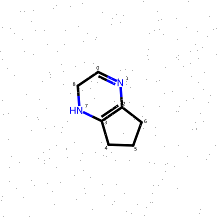 C1=NC2=C(CCC2)NC1